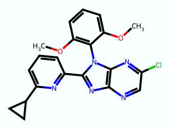 COc1cccc(OC)c1-n1c(-c2cccc(C3CC3)n2)nc2ncc(Cl)nc21